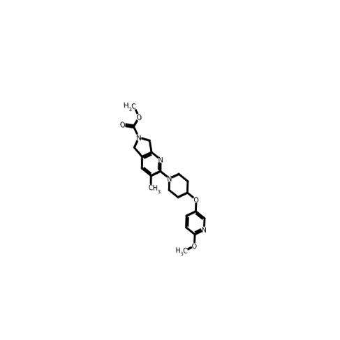 COC(=O)N1Cc2cc(C)c(N3CCC(Oc4ccc(OC)nc4)CC3)nc2C1